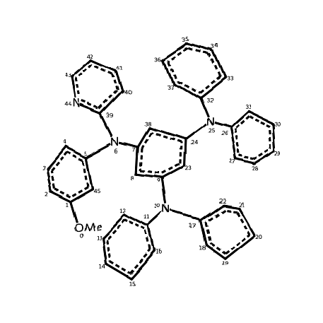 COc1cccc(N(c2cc(N(c3ccccc3)c3ccccc3)cc(N(c3ccccc3)c3ccccc3)c2)c2ccccn2)c1